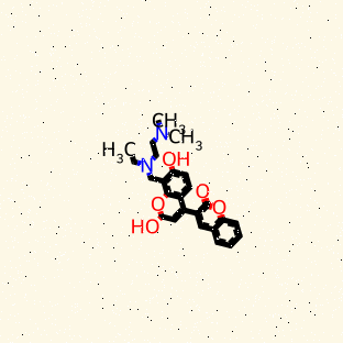 CCN(CCN(C)C)Cc1c(O)ccc2c1OC(O)C=C2c1cc2ccccc2oc1=O